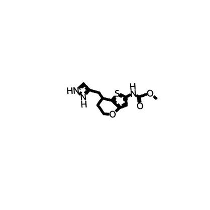 COC(=O)Nc1cc2c(s1)C(Cc1c[nH][nH]1)CCO2